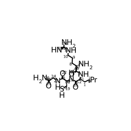 CC(C)C[C@H](NC(=O)[C@@H](N)CCCNC(=N)N)C(=O)N[C@@H](CS)C(=O)NCC(N)=O